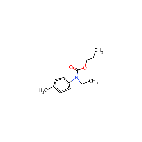 CCCOC(=O)N(CC)c1ccc(C)cc1